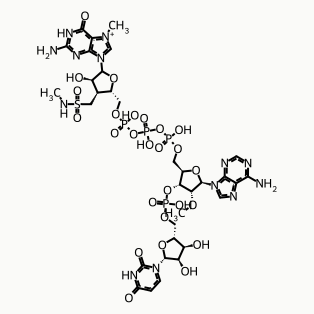 CNS(=O)(=O)C[C@@H]1[C@@H](COP(=O)(O)OP(=O)(O)OP(=O)(O)OC[C@H]2O[C@@H](n3cnc4c(N)ncnc43)[C@H](OC)[C@@H]2OP(=O)(O)OC[C@H]2O[C@@H](n3ccc(=O)[nH]c3=O)[C@H](O)[C@@H]2O)OC(n2c[n+](C)c3c(=O)[nH]c(N)nc32)[C@@H]1O